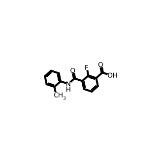 Cc1ccccc1NC(=O)c1cccc(C(=O)O)c1F